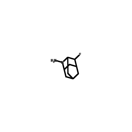 NN1C2CC3CC(C2)C(F)C1C3